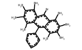 Bc1c(B)c(B)c2c(-c3ccccc3)c3c(B)c(B)c(B)c(B)c3c(Br)c2c1B